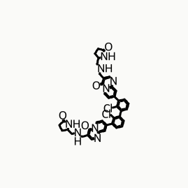 O=C1CCC(CNCc2cnc3cc(-c4cccc(-c5cccc(-c6ccn7c(=O)c(CNCC8CCC(=O)N8)cnc7c6)c5Cl)c4Cl)ccn3c2=O)N1